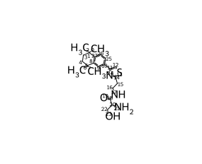 CC1(C)CCC(C)(C)c2cc(-c3csc(CCNC(=O)[C@@H](N)CO)n3)ccc21